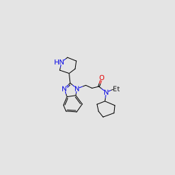 CCN(C(=O)CCn1c(C2CCCNC2)nc2ccccc21)C1CCCCC1